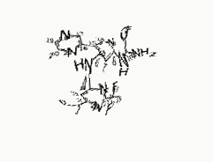 CCc1cc(Nc2cc(NC(N)=O)ncc2-c2cnccn2)nc(C(C)(F)F)n1